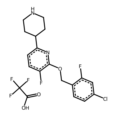 Fc1cc(Cl)ccc1COc1nc(C2CCNCC2)ccc1F.O=C(O)C(F)(F)F